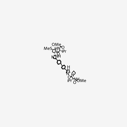 COC(=O)N[C@H](C(=O)N1CCC[C@H]1c1ncc(-c2ccc(-c3ccc(-c4cnc([C@@H]5C[C@H](SC)CN5C(=O)[C@@H](NC(=O)OC)C(C)C)[nH]4)cc3)cc2)[nH]1)C(C)C